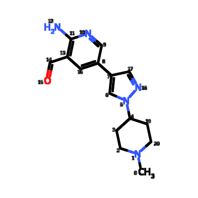 CN1CCC(n2cc(-c3cnc(N)c(C=O)c3)cn2)CC1